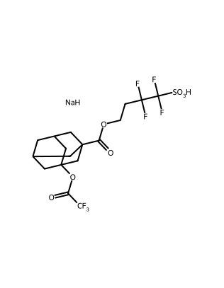 O=C(OC12CC3CC(C1)CC(C(=O)OCCC(F)(F)C(F)(F)S(=O)(=O)O)(C3)C2)C(F)(F)F.[NaH]